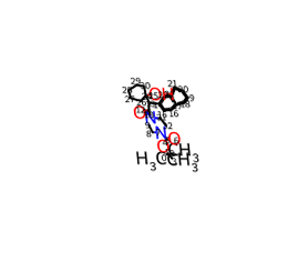 CC(C)(C)OC(=O)N1CCN(C(=O)C(c2ccc3ccccc3c2)C2(O)CCCCC2)CC1